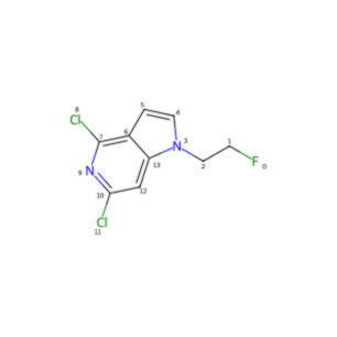 FCCn1ccc2c(Cl)nc(Cl)cc21